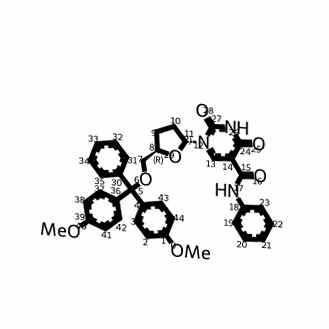 COc1ccc(C(OC[C@H]2[CH]C[C@H](n3cc(C(=O)Nc4ccccc4)c(=O)[nH]c3=O)O2)(c2ccccc2)c2ccc(OC)cc2)cc1